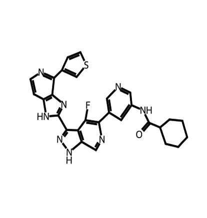 O=C(Nc1cncc(-c2ncc3[nH]nc(-c4nc5c(-c6ccsc6)nccc5[nH]4)c3c2F)c1)C1CCCCC1